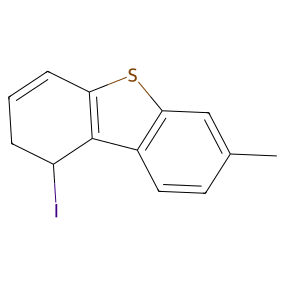 Cc1ccc2c3c(sc2c1)C=CCC3I